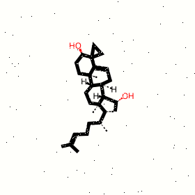 CC(C)=CCC[C@@H](C)[C@H]1C[C@@H](O)[C@H]2[C@@H]3CC=C4C5(CC5)[C@H](O)CC[C@]4(C)[C@H]3CC[C@@]21C